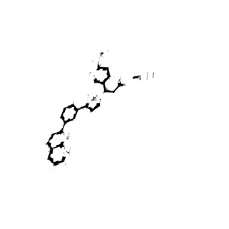 CCOC(=O)CC(c1ccc(OC)nc1)n1ccc(-c2cccc(-c3ccc4cccnc4n3)c2)n1